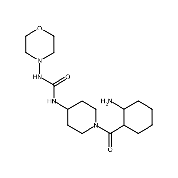 NC1CCCCC1C(=O)N1CCC(NC(=O)NN2CCOCC2)CC1